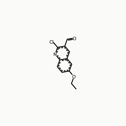 CCOc1ccc2nc(Cl)c(C=O)cc2c1